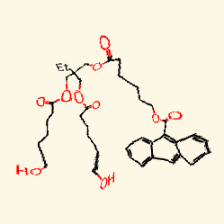 CCC(COC(=O)CCCCCO)(COC(=O)CCCCCO)COC(=O)CCCCCOC(=O)c1c2ccccc2cc2ccccc12